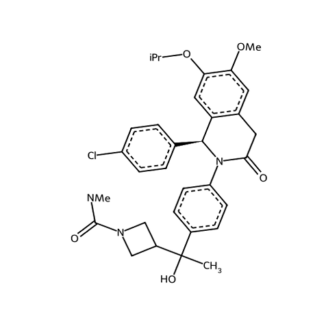 CNC(=O)N1CC(C(C)(O)c2ccc(N3C(=O)Cc4cc(OC)c(OC(C)C)cc4[C@@H]3c3ccc(Cl)cc3)cc2)C1